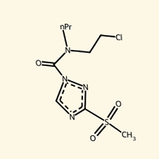 CCCN(CCCl)C(=O)n1cnc(S(C)(=O)=O)n1